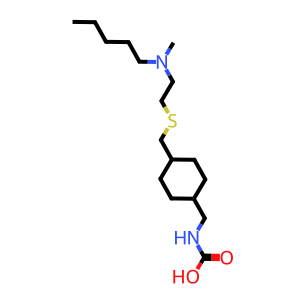 CCCCCN(C)CCSCC1CCC(CNC(=O)O)CC1